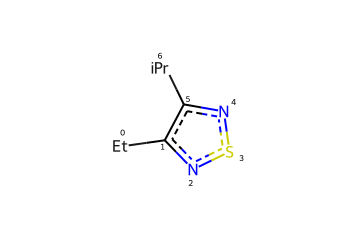 CCc1nsnc1C(C)C